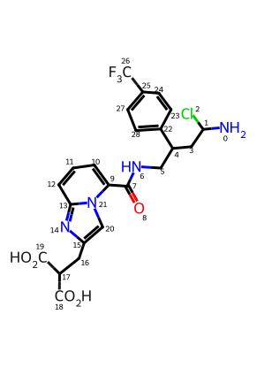 NC(Cl)CC(CNC(=O)c1cccc2nc(CC(C(=O)O)C(=O)O)cn12)c1ccc(C(F)(F)F)cc1